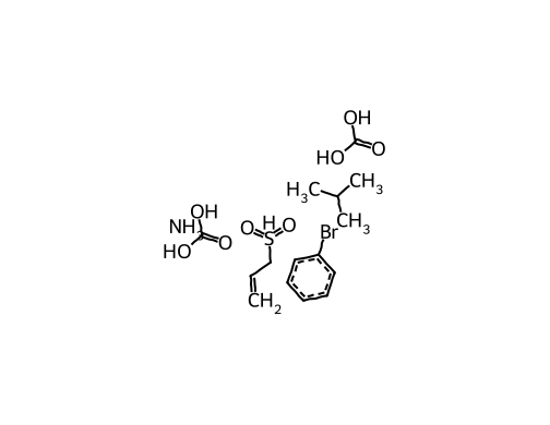 Brc1ccccc1.C=CC[SH](=O)=O.CC(C)C.N.O=C(O)O.O=C(O)O